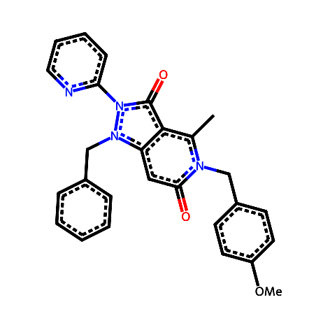 COc1ccc(Cn2c(C)c3c(=O)n(-c4ccccn4)n(Cc4ccccc4)c3cc2=O)cc1